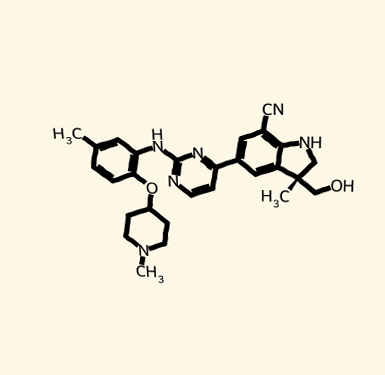 Cc1ccc(OC2CCN(C)CC2)c(Nc2nccc(-c3cc(C#N)c4c(c3)[C@@](C)(CO)CN4)n2)c1